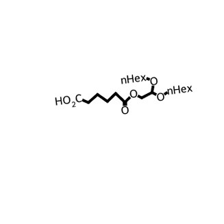 CCCCCCOC(COC(=O)CCCCC(=O)O)OCCCCCC